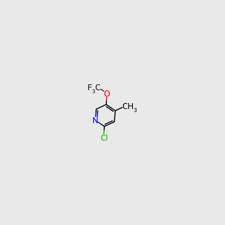 Cc1cc(Cl)ncc1OC(F)(F)F